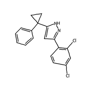 Clc1ccc(-c2cc(C3(c4ccccc4)CC3)[nH]n2)c(Cl)c1